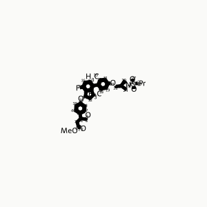 COC(=O)CC1COc2cc(O[C@@H]3CCc4c(-c5c(C)cc(OCC6CN(S(=O)(=O)C(C)C)C6)cc5C)ccc(F)c43)ccc21